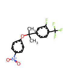 CC(C)(Oc1ccc([N+](=O)[O-])cc1)c1ccc(C(F)(F)F)c(F)c1